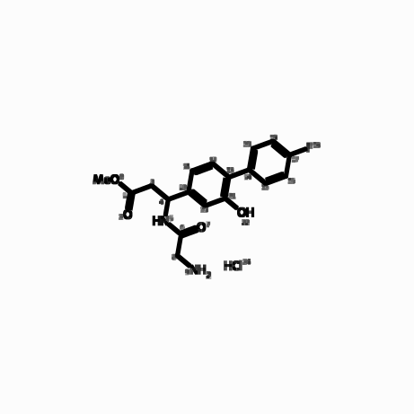 COC(=O)CC(NC(=O)CN)c1ccc(-c2ccc(F)cc2)c(O)c1.Cl